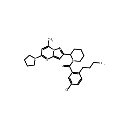 CCCCc1ccc(Cl)cc1C(=O)N1CCCCC1c1cc2nc(N3CCCC3)cc(C)n2n1